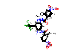 Cc1cc([N+](=O)[O-])ccc1C(=O)Nc1cc(NC(=O)c2ccc([N+](=O)[O-])cc2C)cc(C(F)(F)F)c1